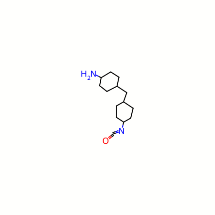 NC1CCC(CC2CCC(N=C=O)CC2)CC1